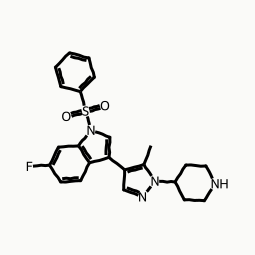 Cc1c(-c2cn(S(=O)(=O)c3ccccc3)c3cc(F)ccc23)cnn1C1CCNCC1